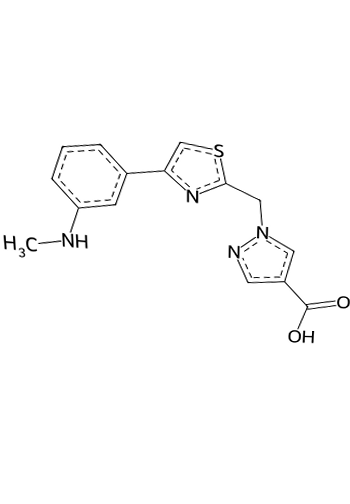 CNc1cccc(-c2csc(Cn3cc(C(=O)O)cn3)n2)c1